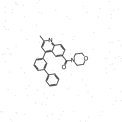 Cc1cc(-c2cccc(-c3ccccc3)c2)c2cc(C(=O)N3CCOCC3)ccc2n1